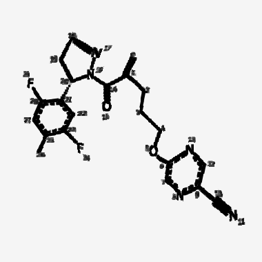 C=C(CCCOc1cnc(C#N)cn1)C(=O)N1N=CC[C@H]1c1cc(F)c(C)cc1F